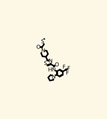 CSCC(=O)N1CCC(c2nc(C(=O)Nc3cc(C(F)(F)F)ccc3N3CCCC3)cs2)CC1